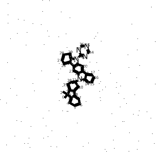 CC1(C)c2ccccc2-c2cc(-n3c4ccccc4c4cc5c(cc43)c3ccccc3n5-c3ncncn3)ccc21